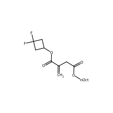 C=C(CC(=O)OCCCCCCCC)C(=O)OC1CC(F)(F)C1